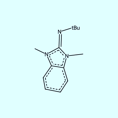 Cn1c(=NC(C)(C)C)n(C)c2ccccc21